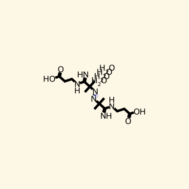 CC(C)(/N=N/C(C)(C)C(=N)NCCC(=O)O)C(=N)NCCC(=O)O.O.O.O.O